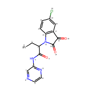 CC(C)CC(C(=O)Nc1cnccn1)N1C(=O)C(=O)c2cc(Cl)ccc21